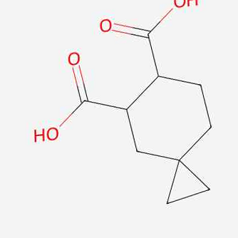 O=C(O)C1CCC2(CC2)CC1C(=O)O